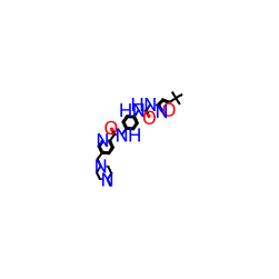 CN1CCN(Cc2ccc(C(=O)Nc3ccc(NC(=O)Nc4cc(C(C)(C)C)on4)cc3)nc2)CC1